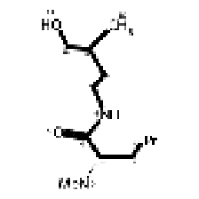 CN[C@@H](CC(C)C)C(=O)NCCC(C)CO